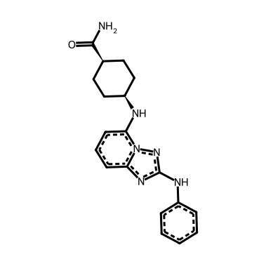 NC(=O)[C@H]1CC[C@@H](Nc2cccc3nc(Nc4ccccc4)nn23)CC1